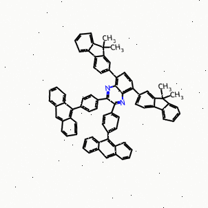 CC1(C)c2ccccc2-c2ccc(-c3ccc(-c4ccc5c(c4)C(C)(C)c4ccccc4-5)c4nc(-c5ccc(-c6c7ccccc7cc7ccccc67)cc5)c(-c5ccc(-c6c7ccccc7cc7ccccc67)cc5)nc34)cc21